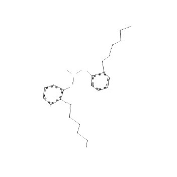 CC(C)CCCCCc1ccccc1OP(O)Oc1ccccc1CCCCCC(C)C